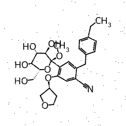 CCc1ccc(Cc2cc([C@]3(OC)O[C@H](CO)[C@@H](O)[C@H](O)[C@H]3O)c(O[C@H]3CCOC3)cc2C#N)cc1